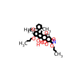 CCCCOc1noc2c1C(=O)[C@@]1(O)C(=O)c3c(c4c5c(c(OC)cc(OCCCC)c5c3O)[C@]3(C4)C(C)=CCCC3C)C(=O)[C@H]1C2